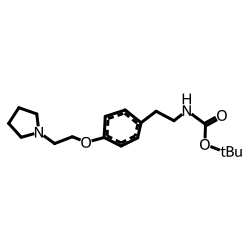 CC(C)(C)OC(=O)NCCc1ccc(OCCN2CCCC2)cc1